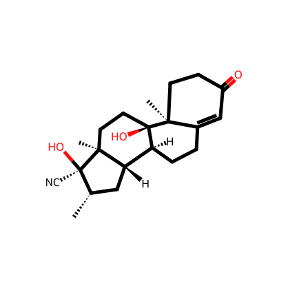 C[C@H]1C[C@H]2[C@@H]3CCC4=CC(=O)CC[C@]4(C)[C@@]3(O)CC[C@]2(C)[C@@]1(O)C#N